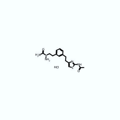 CC(=O)Nc1nc(CCc2cccc(CCN(N)C(N)=O)c2)cs1.Cl